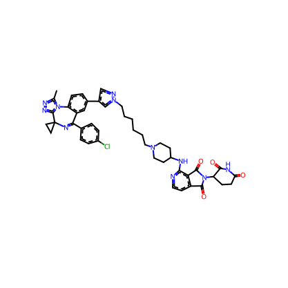 Cc1nnc2n1-c1ccc(-c3cnn(CCCCCCN4CCC(Nc5nccc6c5C(=O)N(C5CCC(=O)NC5=O)C6=O)CC4)c3)cc1C(c1ccc(Cl)cc1)=NC21CC1